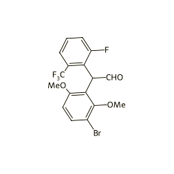 COc1ccc(Br)c(OC)c1C(C=O)c1c(F)cccc1C(F)(F)F